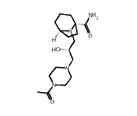 CC(=O)N1CCN(C[C@H](O)CN2[C@@H]3C[CH]C[C@@]2(C(N)=O)CC3)CC1